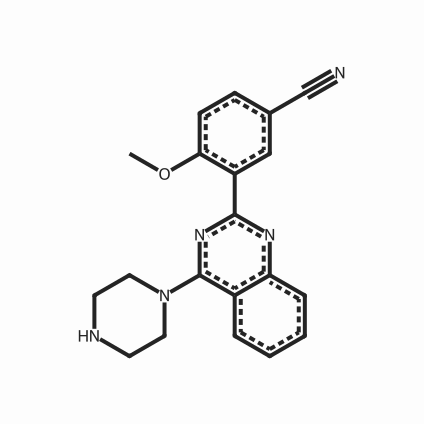 COc1ccc(C#N)cc1-c1nc(N2CCNCC2)c2ccccc2n1